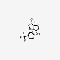 O[C@@H]1CO[C@@]2(c3cccc(C(F)(F)F)c3)[C@@H]1OC[C@@H]2O